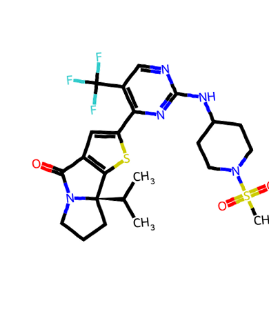 CC(C)[C@@]12CCCN1C(=O)c1cc(-c3nc(NC4CCN(S(C)(=O)=O)CC4)ncc3C(F)(F)F)sc12